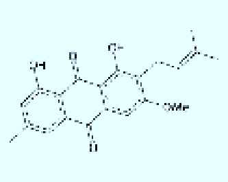 COc1cc2c(c(O)c1CC=C(C)C)C(=O)c1c(O)cc(C)cc1C2=O